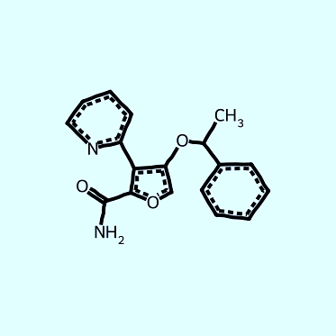 CC(Oc1coc(C(N)=O)c1-c1ccccn1)c1ccccc1